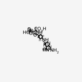 Nc1nc2ncc(CNc3ccc(C(=O)N[C@@H](COP(=O)(O)O)C(=O)O)cc3)nc2c(=O)[nH]1